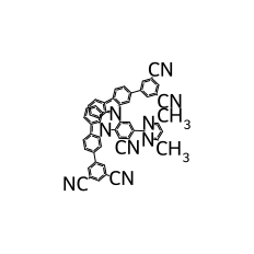 Cc1cc(C)nc(-c2cc(-n3c4ccccc4c4ccc(-c5cc(C#N)cc(C#N)c5)cc43)c(-n3c4ccccc4c4ccc(-c5cc(C#N)cc(C#N)c5)cc43)cc2C#N)n1